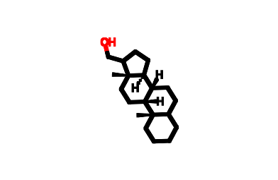 C[C@]12CCCCC1CC[C@@H]1[C@H]2CC[C@]2(C)C(CO)CC[C@@H]12